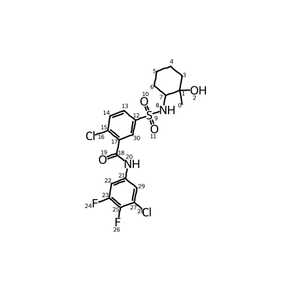 CC1(O)CCCCC1NS(=O)(=O)c1ccc(Cl)c(C(=O)Nc2cc(F)c(F)c(Cl)c2)c1